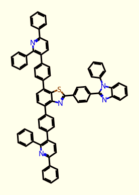 c1ccc(-c2ccc(-c3ccc(-c4ccc(-c5ccc(-c6ccc(-c7ccccc7)nc6-c6ccccc6)cc5)c5sc(-c6ccc(-c7nc8ccccc8n7-c7ccccc7)cc6)nc45)cc3)c(-c3ccccc3)n2)cc1